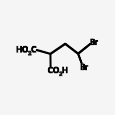 O=C(O)C(CC(Br)Br)C(=O)O